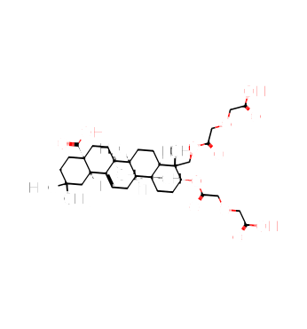 CC1(C)CC[C@]2(C(=O)O)CC[C@]3(C)C(=CC[C@@H]4[C@@]5(C)CC[C@H](OC(=O)COCC(=O)O)C(C)(COC(=O)COCC(=O)O)[C@@H]5CC[C@]43C)[C@@H]2C1